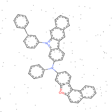 c1ccc(-c2cccc(-n3c4cc(N(c5ccccc5)c5ccc6c(c5)oc5ccc7ccccc7c56)ccc4c4cc5ccccc5cc43)c2)cc1